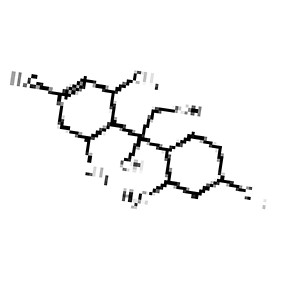 CC1=CC(C)C(C(O)(CO)C2CCC(C)CC2C)C(C)C1